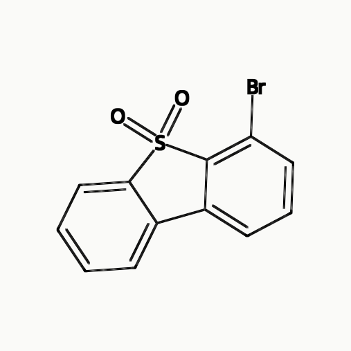 O=S1(=O)c2ccccc2-c2cccc(Br)c21